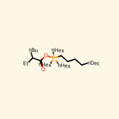 CCCCCCCCCCCCCCP(CCCCCC)(CCCCCC)(CCCCCC)OC(=O)C(CC)CCCC